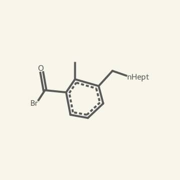 CCCCCCCCc1cccc(C(=O)Br)c1C